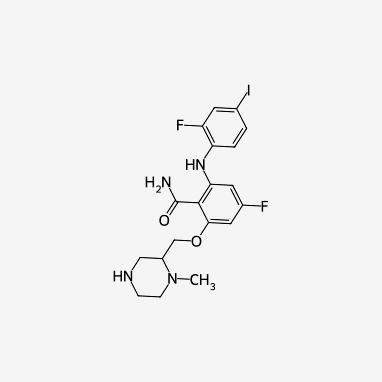 CN1CCNCC1COc1cc(F)cc(Nc2ccc(I)cc2F)c1C(N)=O